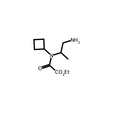 CCOC(=O)C(=O)N(C(C)CN)C1CCC1